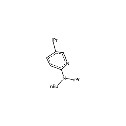 CCCCN(CCC)c1ccc(C(C)C)cn1